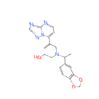 C=C(CN(CCO)C(C)c1ccc2c(c1)OCO2)c1ccnc2ncnn12